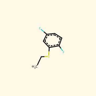 [CH2]CSc1cc(F)ccc1F